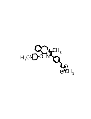 Cc1c(-c2ccc(C=CS(C)(=O)=O)cc2)nc2n1CCc1ccccc1C2OC1CCN(C)CC1